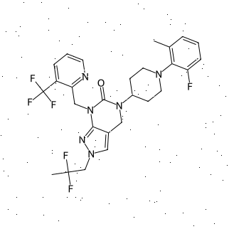 Cc1cccc(F)c1N1CCC(N2Cc3cn(CC(C)(F)F)nc3N(Cc3ncccc3C(F)(F)F)C2=O)CC1